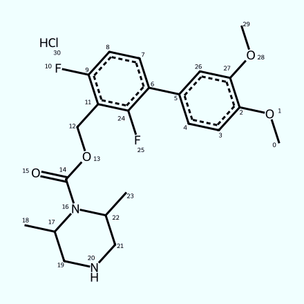 COc1ccc(-c2ccc(F)c(COC(=O)N3C(C)CNCC3C)c2F)cc1OC.Cl